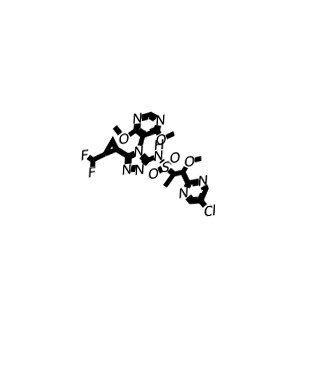 COc1ncnc(OC)c1-n1c(NS(=O)(=O)C(C)C(OC)c2ncc(Cl)cn2)nnc1C1CC1C(F)F